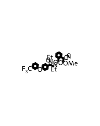 CCON=C(C(CC)=NOCc1ccccc1C(=C=NC)C(=O)OC)c1ccc(Oc2cccc(C(F)(F)F)c2)cc1